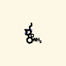 CCCC1=C\C2=C(/C=C/C=C/1)C1CCCCC(N)C1O2